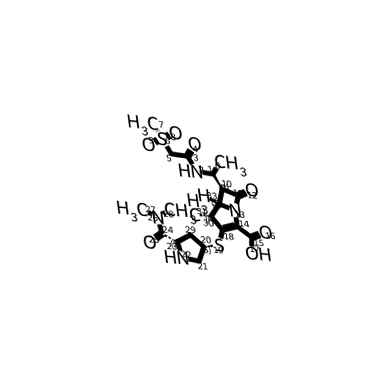 CC(NC(=O)CS(C)(=O)=O)[C@H]1C(=O)N2C(C(=O)O)=C(S[C@@H]3CN[C@H](C(=O)N(C)C)C3)[C@H](C)[C@H]12